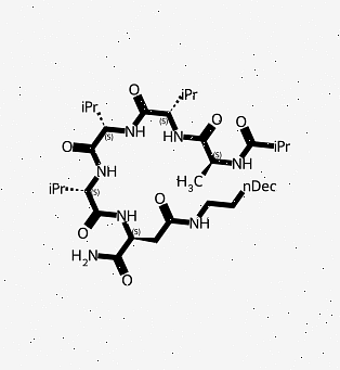 CCCCCCCCCCCCNC(=O)C[C@H](NC(=O)[C@@H](NC(=O)[C@@H](NC(=O)[C@@H](NC(=O)[C@H](C)NC(=O)C(C)C)C(C)C)C(C)C)C(C)C)C(N)=O